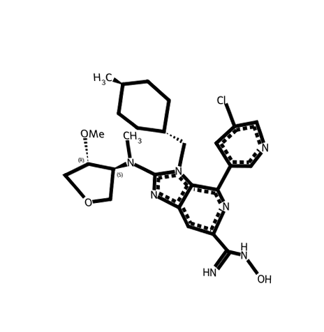 CO[C@H]1COC[C@@H]1N(C)c1nc2cc(C(=N)NO)nc(-c3cncc(Cl)c3)c2n1C[C@H]1CC[C@H](C)CC1